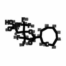 O=C(OC(CS(=O)(=O)O)(C(F)(F)F)C(F)(F)F)C1CCCCCCCC1